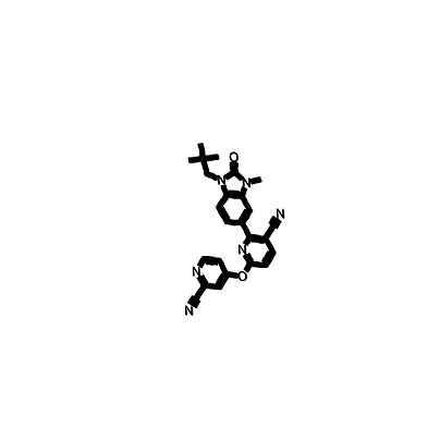 Cn1c(=O)n(CC(C)(C)C)c2ccc(-c3nc(Oc4ccnc(C#N)c4)ccc3C#N)cc21